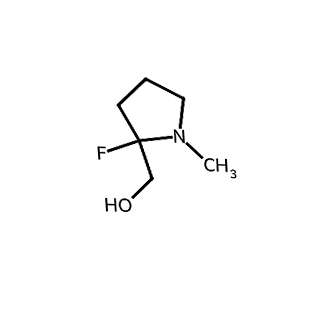 CN1CCCC1(F)CO